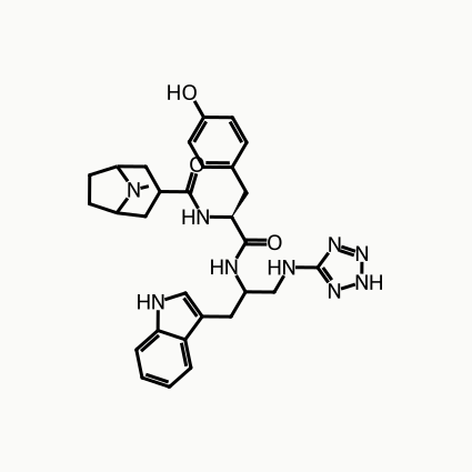 CN1C2CCC1CC(C(=O)N[C@@H](Cc1ccc(O)cc1)C(=O)NC(CNc1nn[nH]n1)Cc1c[nH]c3ccccc13)C2